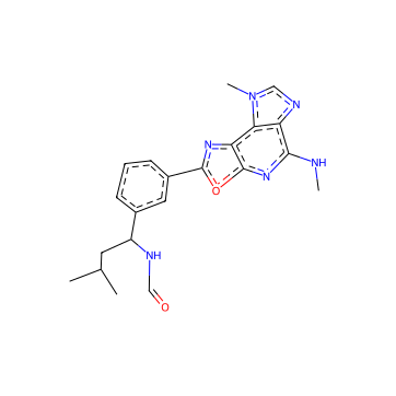 CNc1nc2oc(-c3cccc(C(CC(C)C)NC=O)c3)nc2c2c1ncn2C